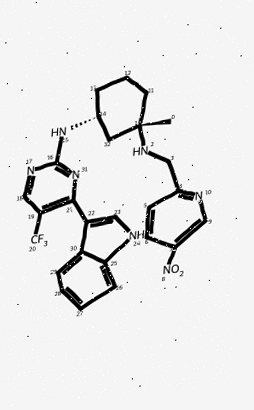 C[C@]1(NCc2ccc([N+](=O)[O-])cn2)CCC[C@@H](Nc2ncc(C(F)(F)F)c(-c3c[nH]c4ccccc34)n2)C1